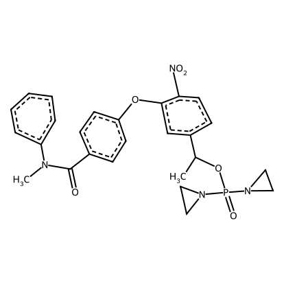 CC(OP(=O)(N1CC1)N1CC1)c1ccc([N+](=O)[O-])c(Oc2ccc(C(=O)N(C)c3ccccc3)cc2)c1